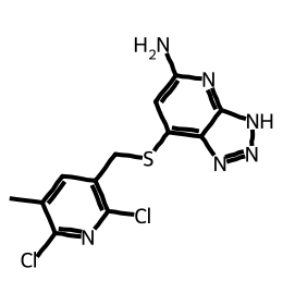 Cc1cc(CSc2cc(N)nc3[nH]nnc23)c(Cl)nc1Cl